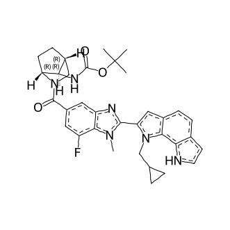 Cn1c(-c2cc3ccc4cc[nH]c4c3n2CC2CC2)nc2cc(C(=O)N3C[C@H]4CC[C@@H]3[C@@H]4NC(=O)OC(C)(C)C)cc(F)c21